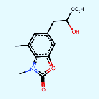 Cc1cc(CC(O)C(=O)O)cc2oc(=O)n(C)c12